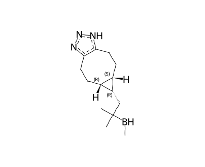 CBC(C)(C)C[C@@H]1[C@@H]2CCc3nn[nH]c3CC[C@@H]21